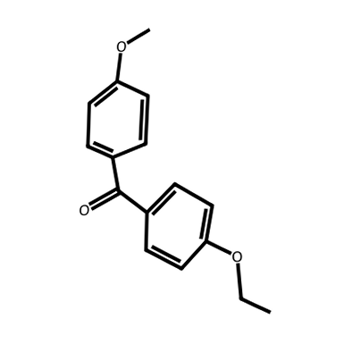 CCOc1ccc(C(=O)c2ccc(OC)cc2)cc1